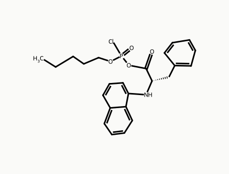 CCCCCOP(=O)(Cl)OC(=O)[C@H](Cc1ccccc1)Nc1cccc2ccccc12